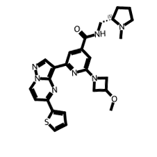 COC1CN(c2cc(C(=O)NC[C@@H]3CCCN3C)cc(-c3cnn4ccc(-c5cccs5)nc34)n2)C1